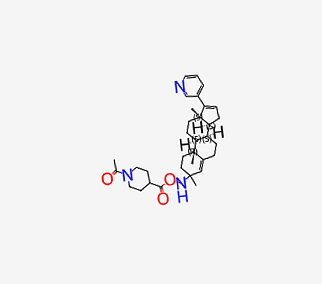 CC(=O)N1CCC(C(=O)ONC2(C)C=C3CC[C@H]4[C@H](CC[C@]5(C)C(c6cccnc6)=CC[C@@H]45)[C@@]3(C)CC2)CC1